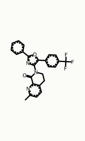 Cc1ccc2c(n1)C(=O)N(c1nc(-c3ccccc3)oc1-c1ccc(C(F)(F)F)cc1)CC2